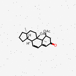 CC(=O)OC1CC(=O)C=C2C=C[C@H]3[C@@H]4CCC[C@@]4(C)CCC3(OC(C)=O)[C@]21C